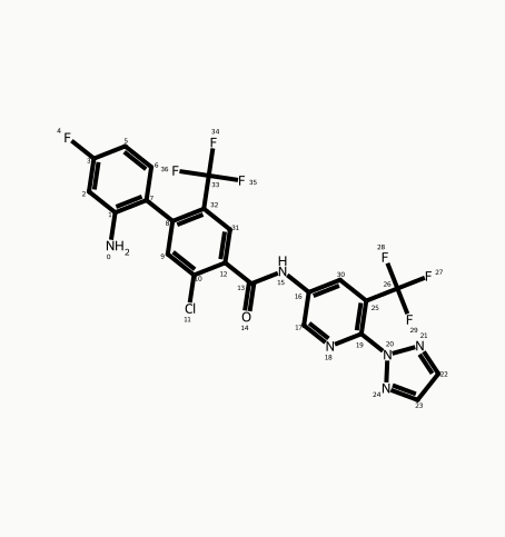 Nc1cc(F)ccc1-c1cc(Cl)c(C(=O)Nc2cnc(-n3nccn3)c(C(F)(F)F)c2)cc1C(F)(F)F